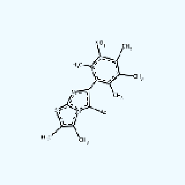 CC(=O)c1c(-c2c(C)c(C)c(C)c([N+](=O)[O-])c2C)nc2sc(C)c(C)n12